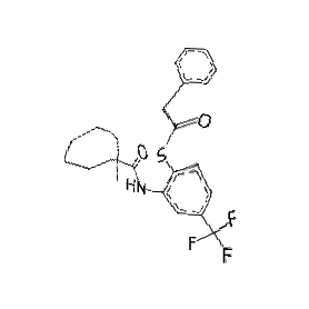 CC1(C(=O)Nc2cc(C(F)(F)F)ccc2SC(=O)Cc2ccccc2)CCCCC1